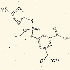 CCOP(=O)(Cc1ccc(N)cc1)Nc1cc(C(=O)O)cc(C(=O)O)c1